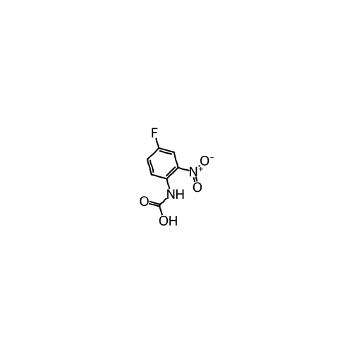 O=C(O)Nc1ccc(F)cc1[N+](=O)[O-]